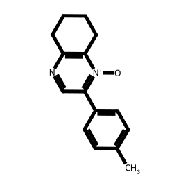 Cc1ccc(-c2cnc3c([n+]2[O-])CCCC3)cc1